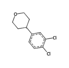 Clc1ccc([C]2CCOCC2)cc1Cl